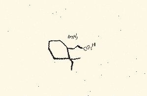 CC1(C)CCCCC1CC(=O)O.[InH3]